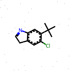 CC(C)(C)c1cc2c(cc1Cl)CC=N2